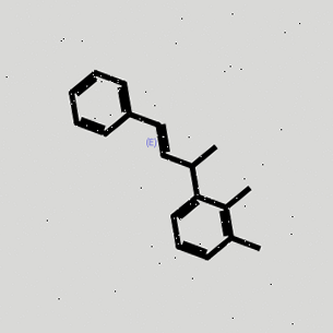 Cc1cccc(C(C)/C=C/c2ccccc2)c1C